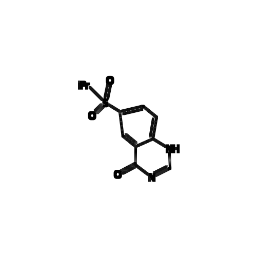 CC(C)S(=O)(=O)c1ccc2[nH]cnc(=O)c2c1